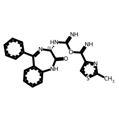 Cc1nc(C(=N)OC(=N)N[C@H]2N=C(c3ccccc3)c3ccccc3NC2=O)cs1